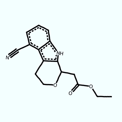 CCOC(=O)CC1OCCc2c1[nH]c1cccc(C#N)c21